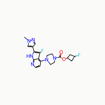 Cn1cc(-c2[nH]c3nccc(N4CCN(C(=O)OC5CC(F)C5)CC4)c3c2F)cn1